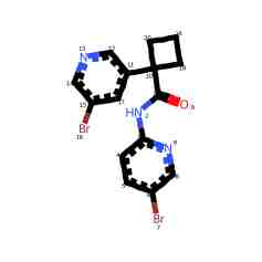 O=C(Nc1ccc(Br)cn1)C1(c2cncc(Br)c2)CCC1